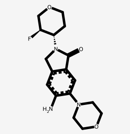 Nc1cc2c(cc1N1CCOCC1)C(=O)N([C@H]1CCOC[C@@H]1F)C2